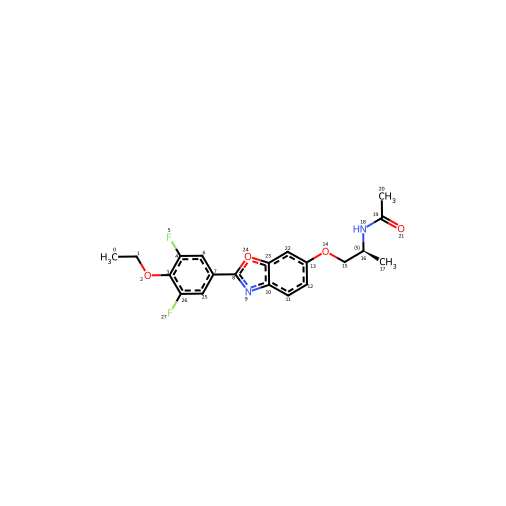 CCOc1c(F)cc(-c2nc3ccc(OC[C@H](C)NC(C)=O)cc3o2)cc1F